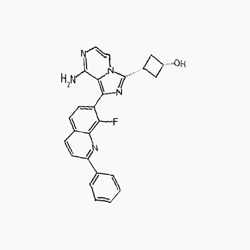 Nc1nccn2c1c(-c1ccc3ccc(-c4ccccc4)nc3c1F)nc2[C@H]1C[C@@H](O)C1